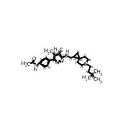 CC(=O)Nc1ccc(-c2nnc(NCC3CC34CCN(CCC(C)(C)C)CC4)c(C)c2C)cc1